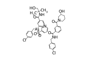 CC(C)(CO)NC(=O)c1cccc([As](Cc2ccc(Cl)cc2)S(=O)(=O)c2cccnc2)c1.O=C(NCc1ccc(Cl)cc1)c1cccc(C(=O)N2CCCC(O)C2)c1